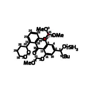 COCOc1cc(C(O[SiH3])C(C)(C)C)cc(OCOC)c1C(=O)c1c(OCOC)cccc1C1CCCOO1